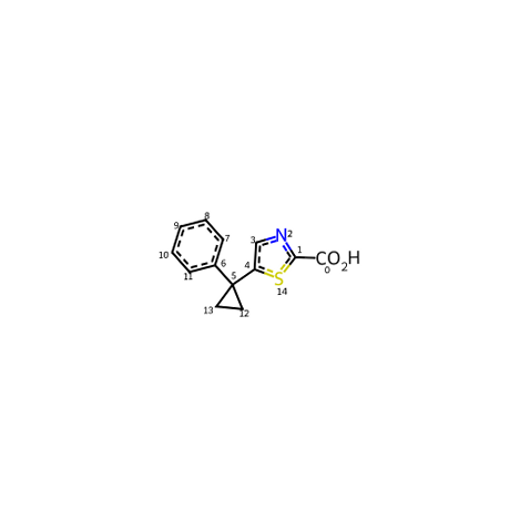 O=C(O)c1ncc(C2(c3ccccc3)CC2)s1